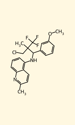 COc1cccc(C(Nc2cccc3nc(C)ccc23)C(C)(CCl)C(F)(F)F)c1